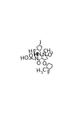 Cc1c(F)cccc1Oc1cc(=O)n(C)c(Nc2ccc(I)cc2F)c1C(=O)NC[C@@H](O)CO